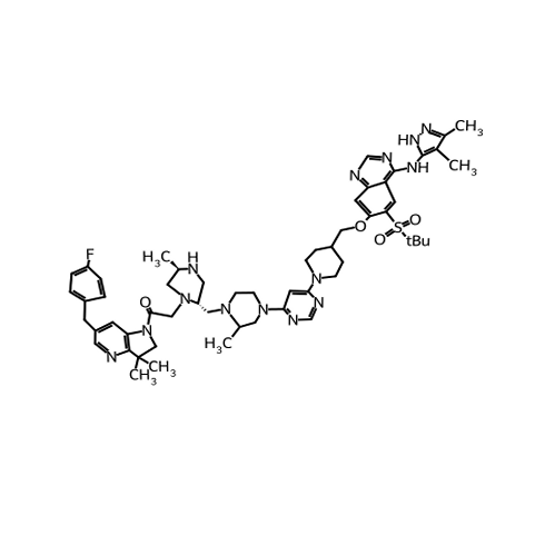 Cc1n[nH]c(Nc2ncnc3cc(OCC4CCN(c5cc(N6CCN(C[C@H]7CN[C@H](C)CN7CC(=O)N7CC(C)(C)c8ncc(Cc9ccc(F)cc9)cc87)C(C)C6)ncn5)CC4)c(S(=O)(=O)C(C)(C)C)cc23)c1C